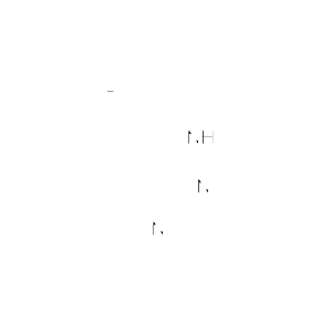 Fc1[c]nn[nH]1